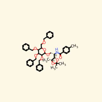 Cc1ccc(C(=O)N[C@@H](COC2OC(COCc3ccccc3)C(OCc3ccccc3)C(OCc3ccccc3)C2OCc2ccccc2)[C@@H]2OC(C)(C)O[C@@H]2C)cc1